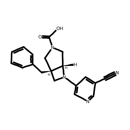 N#Cc1cncc(N2C[C@]3(Cc4ccccc4)CN(C(=O)O)C[C@H]23)c1